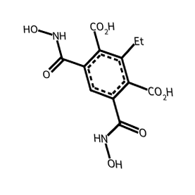 CCc1c(C(=O)O)c(C(=O)NO)cc(C(=O)NO)c1C(=O)O